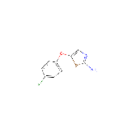 Nc1ncc(Oc2ccc(F)cc2)s1